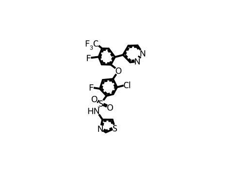 O=S(=O)(Nc1cscn1)c1cc(Cl)c(Oc2cc(F)c(C(F)(F)F)cc2-c2ccnnc2)cc1F